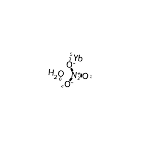 O.O=[N+]([O-])[O-].[Yb]